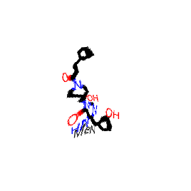 CN/C(=C1/N=CN(CC2(O)CCN(C(=O)CCc3ccccc3)CC2)C(=O)C1=N)c1cccc(O)c1